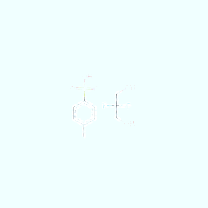 Cc1ccc(S(=O)(=O)O)cc1.OCC(F)(F)CO